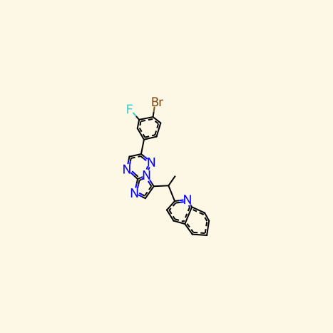 CC(c1ccc2ccccc2n1)c1cnc2ncc(-c3ccc(Br)c(F)c3)nn12